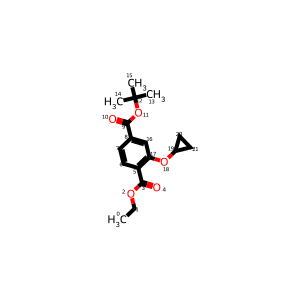 CCOC(=O)c1ccc(C(=O)OC(C)(C)C)cc1OC1CC1